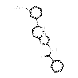 COc1cccc(-c2ccc3nc(NC(=O)c4ccccc4)cn3n2)c1